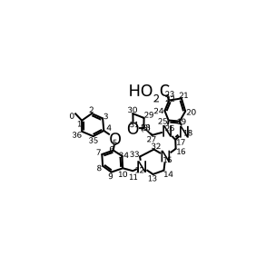 Cc1ccc(Oc2cccc(CN3CCN(Cc4nc5ccc(C(=O)O)cc5n4C[C@@H]4CCO4)CC3)c2)cc1